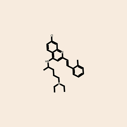 CCN(CC)CCCC(C)Nc1cc(/C=C/c2ccccc2C)nc2cc(Cl)ccc12